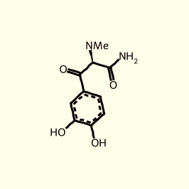 CN[C@@H](C(N)=O)C(=O)c1ccc(O)c(O)c1